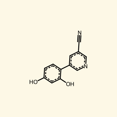 N#Cc1cncc(-c2ccc(O)cc2O)c1